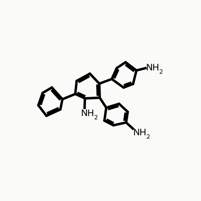 Nc1ccc(-c2ccc(-c3ccccc3)c(N)c2-c2ccc(N)cc2)cc1